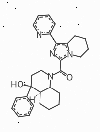 O=C(c1nc(-c2ccccn2)c2n1CCCC2)N1CC[C@@](O)(c2ccccc2)[C@@H]2CCCCC21